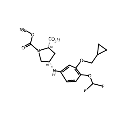 CC(C)(C)OC(=O)N1C[C@@H](Nc2ccc(OC(F)F)c(OCC3CC3)c2)C[C@H]1C(=O)O